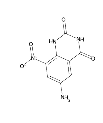 Nc1cc([N+](=O)[O-])c2[nH]c(=O)[nH]c(=O)c2c1